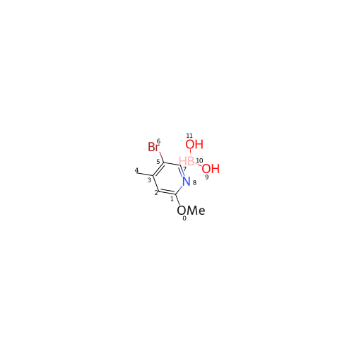 COc1cc(C)c(Br)cn1.OBO